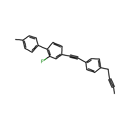 CC#CCc1ccc(C#Cc2ccc(-c3ccc(C)cc3)c(F)c2)cc1